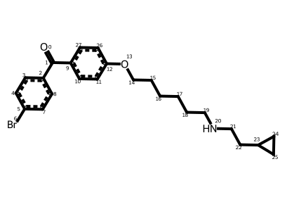 O=C(c1ccc(Br)cc1)c1ccc(OCCCCCCNCCC2CC2)cc1